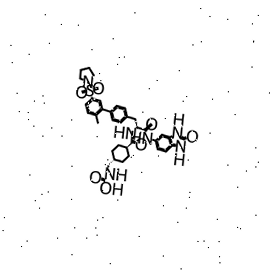 Cc1ccc(S(=O)(=O)N2CCCC2)cc1-c1ccc(C[C@H](NC(=O)[C@H]2CC[C@H](CNC(=O)O)CC2)C(=O)Nc2ccc3[nH]c(=O)[nH]c3c2)cc1